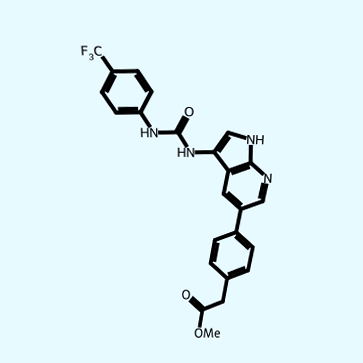 COC(=O)Cc1ccc(-c2cnc3[nH]cc(NC(=O)Nc4ccc(C(F)(F)F)cc4)c3c2)cc1